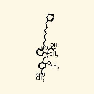 COC(=O)c1ccc(CSC(C)(c2ccccc2CCCCCCCCc2ccccc2)C(O)C(=O)O)c(OC)c1